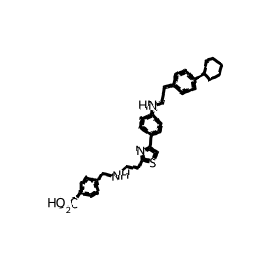 O=C(O)c1ccc(CNCCc2nc(-c3ccc(NCCc4ccc(C5CCCCC5)cc4)cc3)cs2)cc1